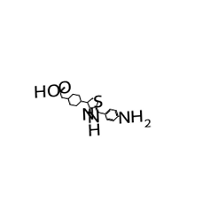 Nc1ccc(-c2[nH]nc3c2SCC3C2CCC(CC(=O)O)CC2)cc1